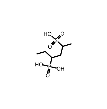 CCC(CC(C)S(=O)(=O)O)P(=O)(O)O